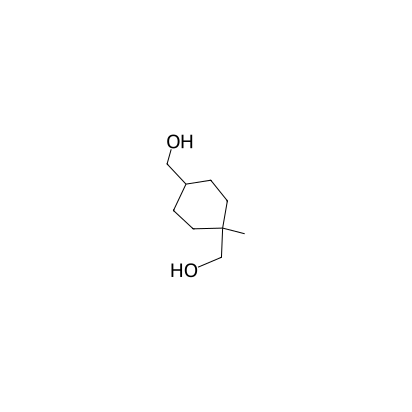 CC1(CO)CCC(CO)CC1